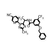 Cc1nc(C(C)NC(=O)c2cc(OCc3ccccc3)cc(C(F)(F)F)c2)n(-c2ccc(C#N)cn2)n1